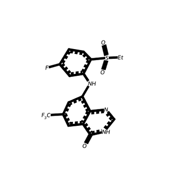 CCS(=O)(=O)c1ccc(F)cc1Nc1cc(C(F)(F)F)cc2c(=O)[nH]cnc12